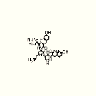 CCCC[C@H](NC(C)=O)C(=O)N[C@H](Cc1ccc(O)cc1)C(=O)N[C@H](CCCCN)C(=O)N[C@H](CO)C(=O)NC(Cc1ccc(O)cc1)C(N)=O